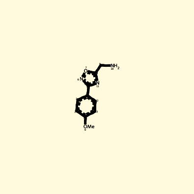 COc1ccc(-c2noc(CN)n2)cc1